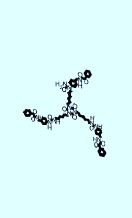 NC(=O)N(CCCCCCn1c(=O)n(CCCCCCNC(=O)Nc2ccc(CNC(=O)C(=O)c3ccccc3)cc2)c(=O)n(CCCCCCNC(=O)Nc2ccc(CNC(=O)C(=O)c3ccccc3)cc2)c1=O)c1ccc(CNC(=O)C(=O)c2ccccc2)cc1